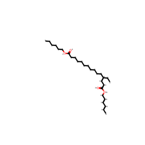 CCCCCCOC(=O)CCCCCCCCCCC(CC)CCC(=O)OCCCCCC